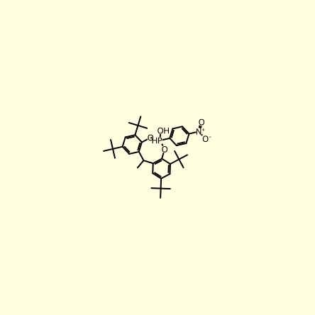 CC1c2cc(C(C)(C)C)cc(C(C)(C)C)c2O[PH](O)(c2ccc([N+](=O)[O-])cc2)Oc2c1cc(C(C)(C)C)cc2C(C)(C)C